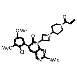 C=CC(=O)N1CCC(N2CC(n3c(=O)c(-c4cc(OC)cc(OC)c4Cl)cc4cnc(NC)nc43)C2)CC1